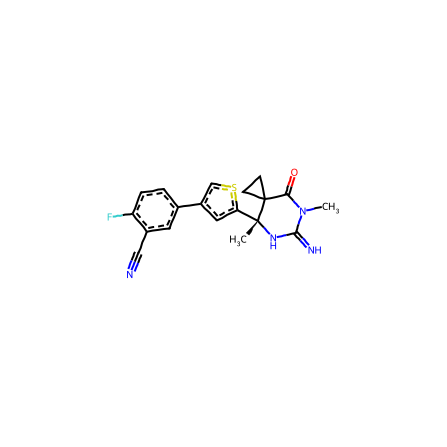 CN1C(=N)N[C@](C)(c2cc(-c3ccc(F)c(C#N)c3)cs2)C2(CC2)C1=O